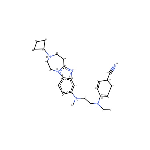 CCN(CCN(C)c1ccc2c(c1)nc1n2CCN(C2CCC2)CC1)C1=CCC(C#N)C=C1